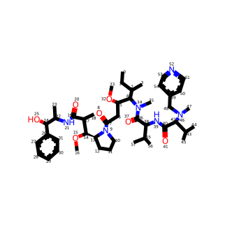 CCC(C)C(C(CC(=O)N1CCC[C@H]1C(OC)C(C)C(=O)NC(C)C(O)c1ccccc1)OC)N(C)C(=O)C(NC(=O)C(C(C)C)N(C)Cc1ccncc1)C(C)C